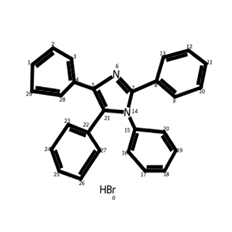 Br.c1ccc(-c2nc(-c3ccccc3)n(-c3ccccc3)c2-c2ccccc2)cc1